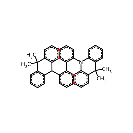 CC1(C)c2ccccc2C(c2ccncc2-c2cnccc2N2c3ccccc3C(C)(C)c3ccccc32)c2ccccc21